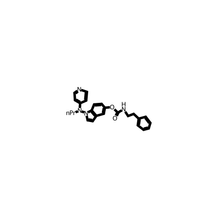 CCCN(c1ccncc1)n1ccc2cc(OC(=O)NCCc3ccccc3)ccc21